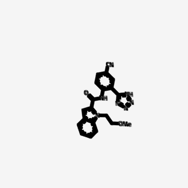 COCCn1c(C(=O)Nc2ccc(C#N)cc2-c2nnn[nH]2)cc2ccccc21